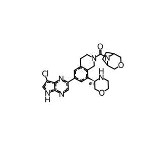 O=C(N1CCc2cc(-c3cnc4[nH]cc(Cl)c4n3)cc([C@@H]3COCCN3)c2C1)N1C2CCC1COC2